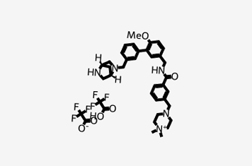 COc1ccc(CNC(=O)c2cccc(CN3CC[N+](C)(C)CC3)c2)cc1-c1cccc(CN2C[C@@H]3C[C@H]2CN3)c1.O=C(O)C(F)(F)F.O=C([O-])C(F)(F)F